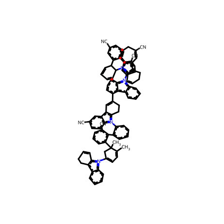 CC1=CC=C(n2c3c(c4ccccc42)CCC=C3)CC1(C)c1cccc(C#N)c1-c1ccccc1-n1c2c(c3cc(C#N)ccc31)C=C(c1cccc3c1c1ccccc1n3-c1ccc(C#N)c(-c3ccc(C#N)cc3C3C=CC=CC3n3c4c(c5c3C=CCC5)C=C(C#N)CC=C4)c1)CC2